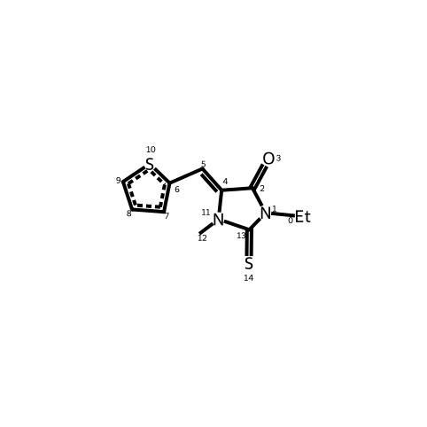 CCN1C(=O)/C(=C/c2cccs2)N(C)C1=S